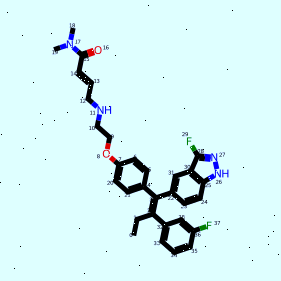 CCC(=C(c1ccc(OCCNCC=CC(=O)N(C)C)cc1)c1ccc2[nH]nc(F)c2c1)c1cccc(F)c1